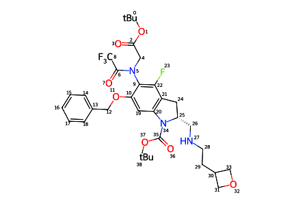 CC(C)(C)OC(=O)CN(C(=O)C(F)(F)F)c1c(OCc2ccccc2)cc2c(c1F)C[C@H](CNCCC1COC1)N2C(=O)OC(C)(C)C